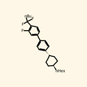 CCCCCC[C@H]1CC[C@H](c2ccc(-c3ccc(C(F)(F)CCCC)c(F)c3)cc2)CC1